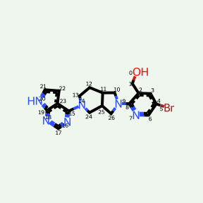 OCc1cc(Br)cnc1N1CC2CCN(c3ncnc4[nH]ccc34)CC2C1